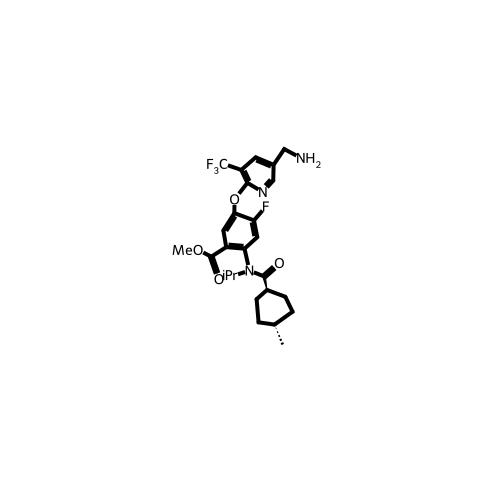 COC(=O)c1cc(Oc2ncc(CN)cc2C(F)(F)F)c(F)cc1N(C(=O)[C@H]1CC[C@H](C)CC1)C(C)C